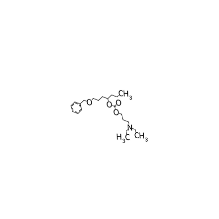 CCCC(CCCOCc1ccccc1)OC(=O)OCCCN(CC)CC